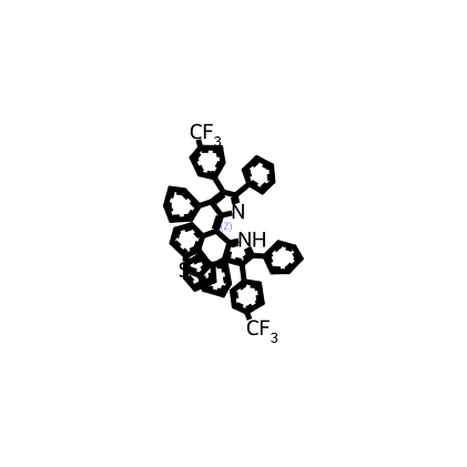 FC(F)(F)c1ccc(C2=C(c3ccccc3)/C(=C(/c3[nH]c(-c4ccccc4)c(-c4ccc(C(F)(F)F)cc4)c3-c3ccccc3)c3cccc4sc5ccccc5c34)N=C2c2ccccc2)cc1